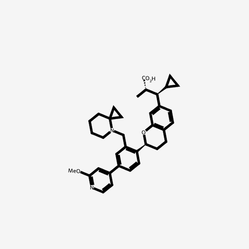 COc1cc(-c2ccc([C@@H]3CCc4ccc([C@H](C5CC5)[C@H](C)C(=O)O)cc4O3)c(CN3CCCCC34CC4)c2)ccn1